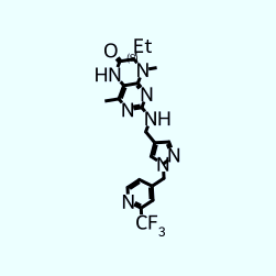 CC[C@H]1C(=O)Nc2c(C)nc(NCc3cnn(Cc4ccnc(C(F)(F)F)c4)c3)nc2N1C